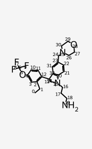 CCc1cc(OC(F)(F)F)ccc1-c1cn(CCCN)c2ccc(CN3CCOCC3)cc12